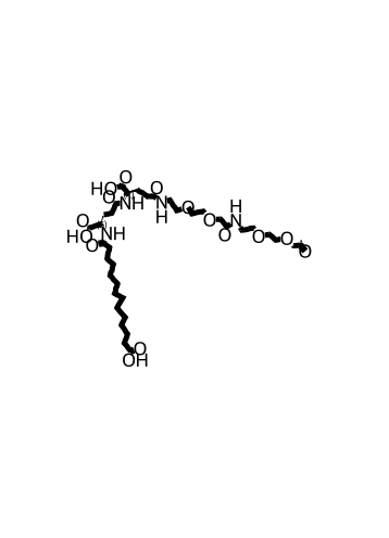 O=[C]COCCOCCNC(=O)COCCOCCNC(=O)CC[C@@H](NC(=O)CC[C@H](NC(=O)CCCCCCCCCCCCC(=O)O)C(=O)O)C(=O)O